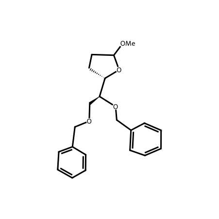 COC1CC[C@@H]([C@H](COCc2ccccc2)OCc2ccccc2)O1